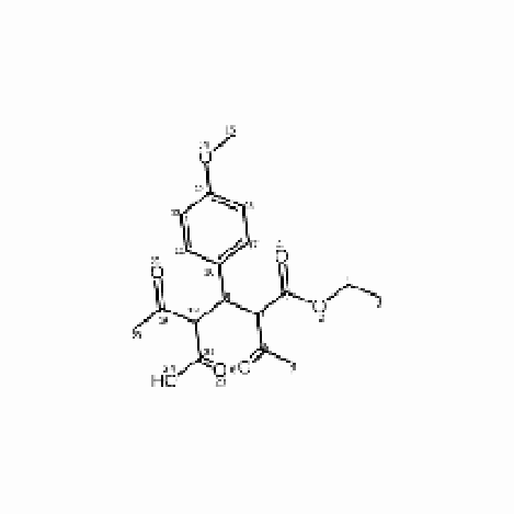 CCOC(=O)C(C(C)=O)C(c1ccc(OC)cc1)C(C(C)=O)C(=O)O